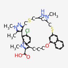 Cc1c2c(nn1C)CSCC1CC(CSc3cc(c4ccccc4c3)OCCCc3c(C(=O)O)n(C)c4c-2c(Cl)ccc34)N(C)N1